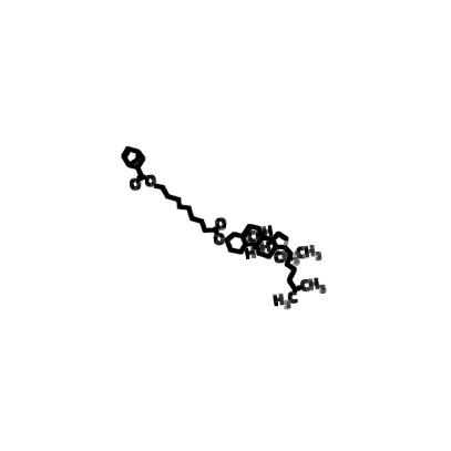 CC(C)CCC[C@@H](C)[C@H]1CC[C@H]2[C@@H]3CC=C4C[C@@H](OC(=O)CCCCCCCCCOC(=O)C5CC6C=CC5C6)CC[C@]4(C)[C@H]3CC[C@]12C